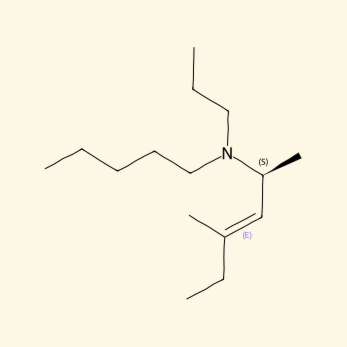 CCCCCN(CCC)[C@@H](C)/C=C(\C)CC